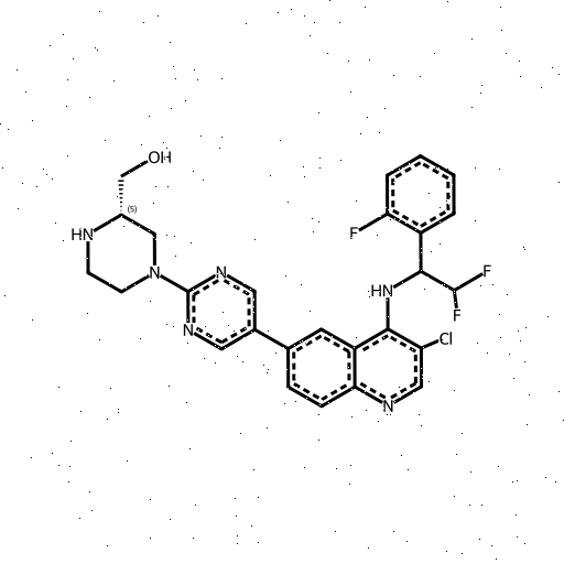 OC[C@@H]1CN(c2ncc(-c3ccc4ncc(Cl)c(NC(c5ccccc5F)C(F)F)c4c3)cn2)CCN1